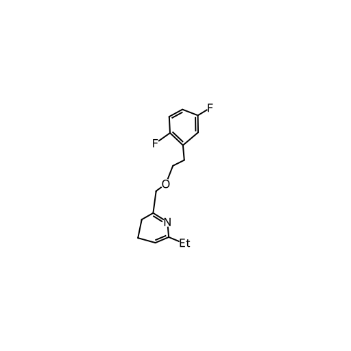 CCC1=CCCC(COCCc2cc(F)ccc2F)=N1